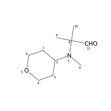 CN(C1CCOCC1)C(C)(C)C=O